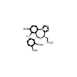 CCOC(=O)C[C@H]1O[C@H](c2cccc(OC)c2OC)c2c(ccc(C#N)c2C(F)(F)F)-n2cnnc21